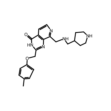 Cc1ccc(OCc2nc3c(CNCC4CCNCC4)nccc3c(=O)[nH]2)cc1